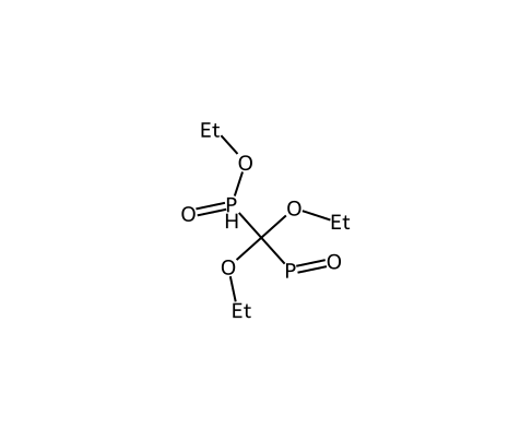 CCO[PH](=O)C(OCC)(OCC)P=O